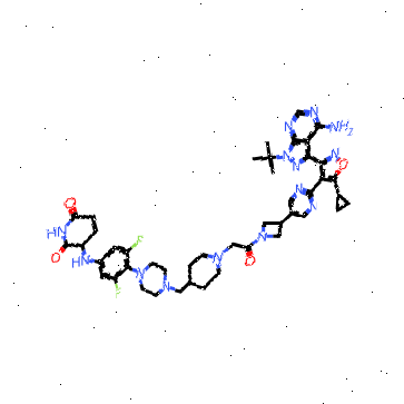 CC(C)(C)n1nc(-c2noc(C3CC3)c2-c2ncc(C3CN(C(=O)CN4CCC(CN5CCN(c6c(F)cc(NC7CCC(=O)NC7=O)cc6F)CC5)CC4)C3)cn2)c2c(N)ncnc21